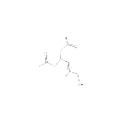 CC(=O)OC(/C=C(\C)CO)OC(C)=O